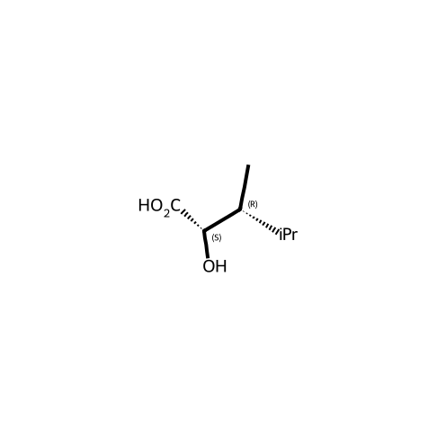 CC(C)[C@@H](C)[C@H](O)C(=O)O